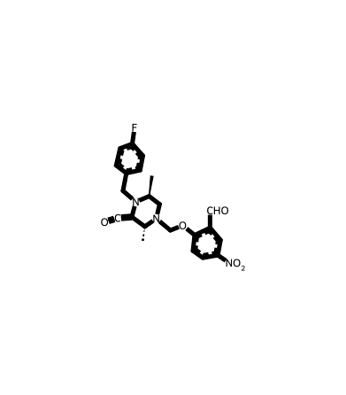 C[C@@H]1C(=C=O)N(Cc2ccc(F)cc2)[C@@H](C)CN1COc1ccc([N+](=O)[O-])cc1C=O